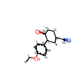 CCOc1ccc(C2CC(C#N)CCC2=O)cc1